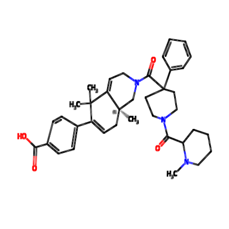 CN1CCCCC1C(=O)N1CCC(C(=O)N2CC=C3C(C)(C)C(c4ccc(C(=O)O)cc4)=CC[C@]3(C)C2)(c2ccccc2)CC1